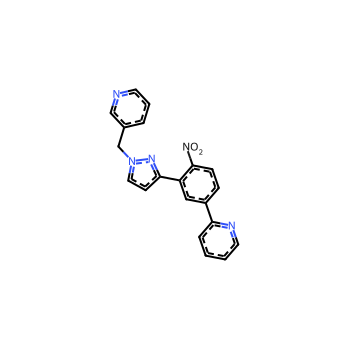 O=[N+]([O-])c1ccc(-c2ccccn2)cc1-c1ccn(Cc2cccnc2)n1